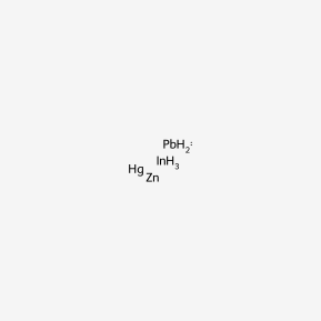 [Hg].[InH3].[PbH2].[Zn]